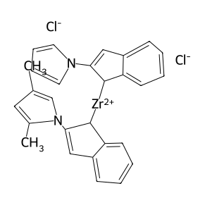 Cc1cc(C)n(C2=Cc3ccccc3[CH]2[Zr+2][CH]2C(n3cccc3)=Cc3ccccc32)c1.[Cl-].[Cl-]